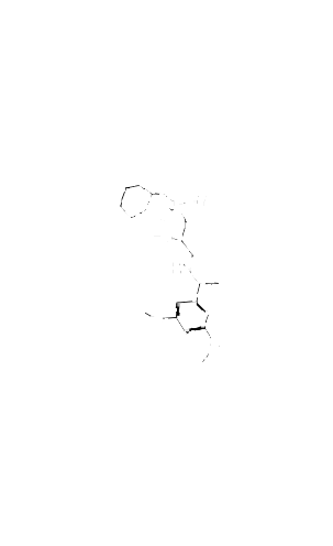 COc1cc(OC)cc(C(C)NC[C@@H](O)CP(=O)(O)CC2CCCCC2)c1